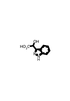 O=C(O)C(O)c1n[nH]c2ccccc12